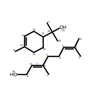 CC(C)=CCC/C(C)=C/CO.CC1=CCC(C(C)(C)O)CC1